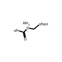 CCCCCCOC(=O)CCC.[AlH3]